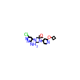 Nc1nnc(Cl)cc1N1CCN(c2ccnc(OC3CCC3)c2)C2(COC2)C1